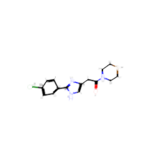 O=C(Cc1c[nH]c(-c2ccc(Cl)cc2)n1)N1CCSCC1